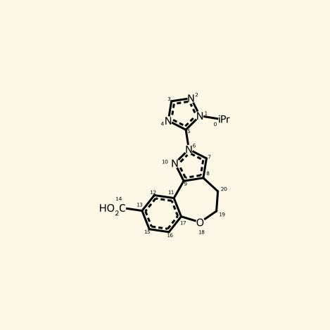 CC(C)n1ncnc1-n1cc2c(n1)-c1cc(C(=O)O)ccc1OCC2